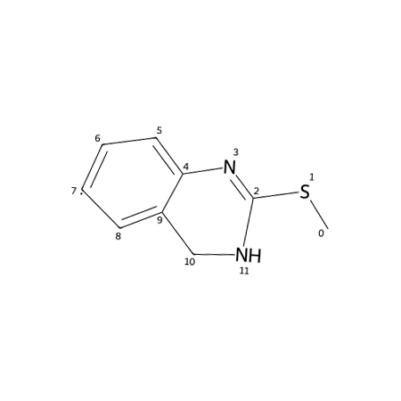 CSC1=Nc2cc[c]cc2CN1